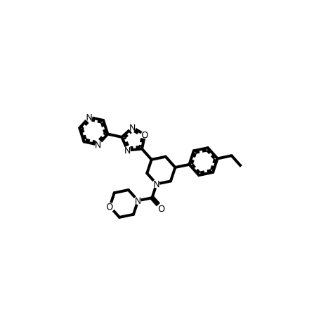 CCc1ccc(C2CC(c3nc(-c4cnccn4)no3)CN(C(=O)N3CCOCC3)C2)cc1